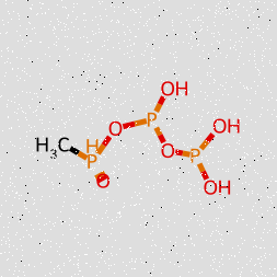 C[PH](=O)OP(O)OP(O)O